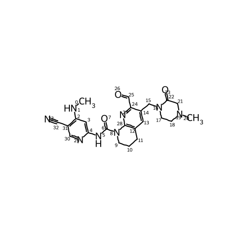 CNc1cc(NC(=O)N2CCCc3cc(CN4CCN(C)CC4=O)c(C=O)nc32)ncc1C#N